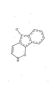 [O-][s+]1c2c(c3ccccc31)ONC=C2